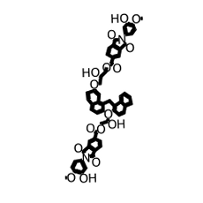 COc1ccc(N2C(=O)c3ccc(C(=O)OCC(O)COc4ccc5cccc(Cc6c(OC(O)COC(=O)c7ccc8c(c7)C(=O)N(c7ccc(OC)c(O)c7)C8=O)ccc7ccccc67)c5c4)cc3C2=O)cc1O